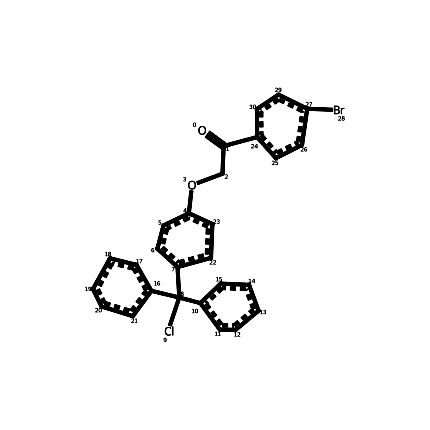 O=C(COc1ccc(C(Cl)(c2ccccc2)c2ccccc2)cc1)c1ccc(Br)cc1